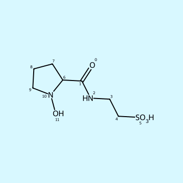 O=C(NCCS(=O)(=O)O)C1CCCN1O